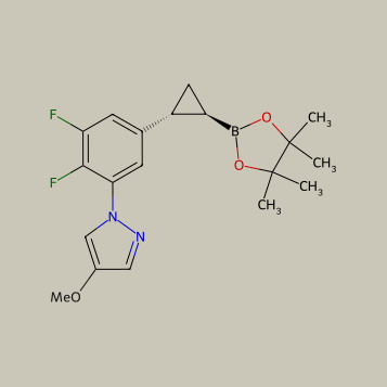 COc1cnn(-c2cc([C@@H]3C[C@H]3B3OC(C)(C)C(C)(C)O3)cc(F)c2F)c1